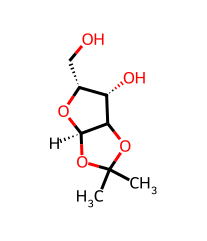 CC1(C)OC2[C@H](O[C@H](CO)[C@@H]2O)O1